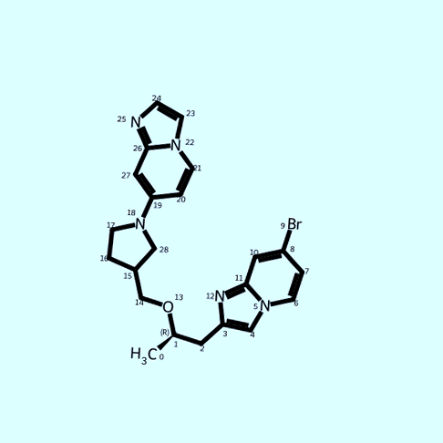 C[C@H](Cc1cn2ccc(Br)cc2n1)OCC1CCN(c2ccn3ccnc3c2)C1